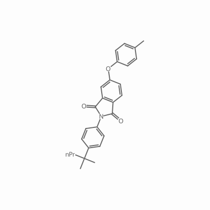 CCCC(C)(C)c1ccc(N2C(=O)c3ccc(Oc4ccc(C)cc4)cc3C2=O)cc1